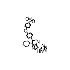 CS(=O)(=O)c1ccc(Oc2ccc(-c3cnc4c(-c5nnn[nH]5)cnn4c3C3CCCCC3)cc2)cc1